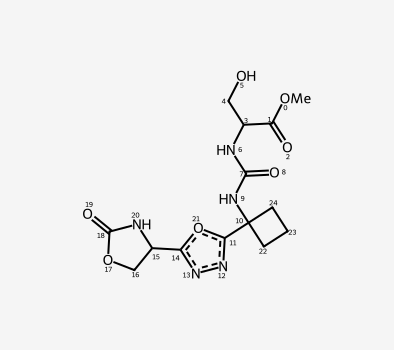 COC(=O)C(CO)NC(=O)NC1(c2nnc(C3COC(=O)N3)o2)CCC1